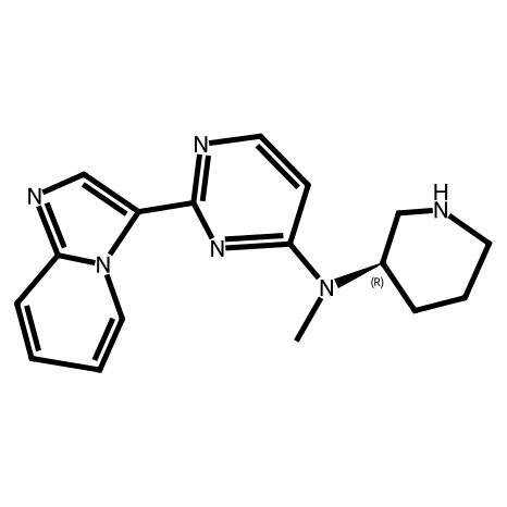 CN(c1ccnc(-c2cnc3ccccn23)n1)[C@@H]1CCCNC1